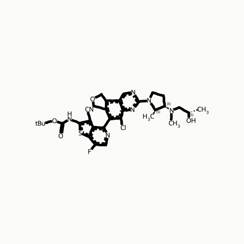 C[C@H](O)CN(C)[C@H]1CCN(c2ncc3c4c(c(-c5ncc(F)c6sc(NC(=O)OC(C)(C)C)c(C#N)c56)c(Cl)c3n2)COC4)[C@H]1C